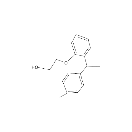 Cc1ccc(C(C)c2ccccc2OCCO)cc1